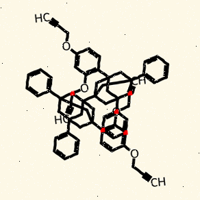 C#CCOc1ccc(C23CC4(c5ccccc5)CC(c5ccccc5)(C2)CC(C25CC6(c7ccccc7)CC(c7ccccc7)(CC(c7ccc(OCC#C)cc7OCC#C)(C6)C2)C5)(C4)C3)c(OCC#C)c1